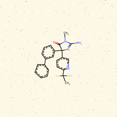 CN1C(=O)C(c2ccc(C(C)(F)F)nc2)(c2cccc(-c3ccccc3)c2)N=C1N